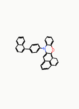 C1=Cc2cccc3cc4c(c(c23)C1)Oc1ccccc1N4c1ccc(-c2cccc3ccccc23)cc1